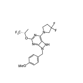 COc1ccc(Cn2[nH]c3c(N4CCC(F)(F)C4)nc(O[C@@H](C)C(F)(F)F)nc32)cc1